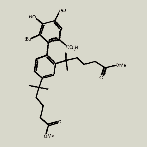 COC(=O)CCCC(C)(C)c1ccc(-c2c(C(=O)O)cc(C(C)(C)C)c(O)c2C(C)(C)C)c(C(C)(C)CCCC(=O)OC)c1